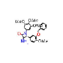 COC1=CC(N2C(=O)C(N)[C@@H]2c2ccc(OC)c(OCc3ccccc3)c2)CC(OC)=C1OC